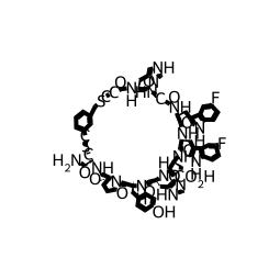 C[C@@]12CCCN1C(=O)[C@H](Cc1ccc(O)cc1)NC(=O)[C@@H](Cc1cnc[nH]1)NC(=O)[C@H](CC(=O)O)NC(=O)[C@H](Cc1c[nH]c3ccc(F)cc13)NC(=O)[C@H](Cc1c[nH]c3ccc(F)cc13)NC(=O)CNC(=O)[C@H](Cc1c[nH]cn1)NC(=O)CCSCc1cccc(c1)CSC[C@H](C(N)=O)NC2=O